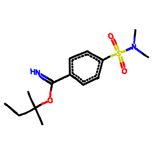 CCC(C)(C)OC(=N)c1ccc(S(=O)(=O)N(C)C)cc1